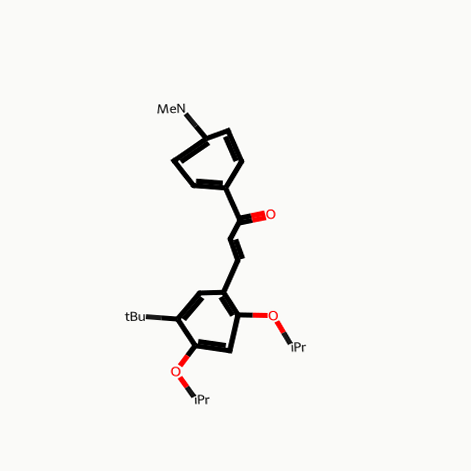 CNc1ccc(C(=O)C=Cc2cc(C(C)(C)C)c(OC(C)C)cc2OC(C)C)cc1